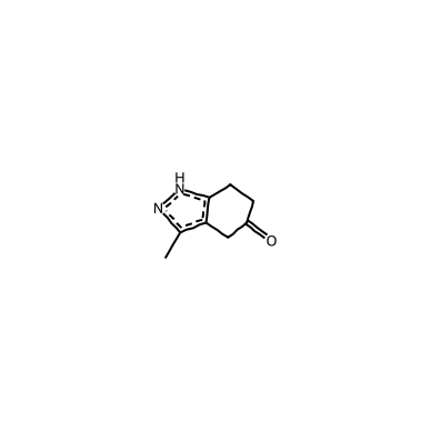 Cc1n[nH]c2c1CC(=O)CC2